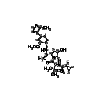 C=C(NCc1ccc(-c2scnc2C)cc1OC)[C@@H]1C[C@@H](O)CN1C(=O)[C@@H](NC(=O)C1(F)CC1)C(C)(C)C